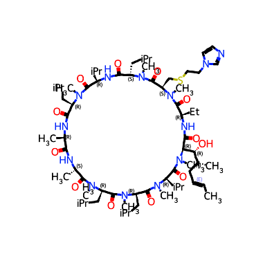 C/C=C/C[C@@H](C)[C@@H](O)[C@@H]1C(=O)N[C@H](CC)C(=O)N(C)[C@H](CSCCn2ccnc2)C(=O)N(C)[C@@H](CC(C)C)C(=O)N[C@H](C(C)C)C(=O)N(C)[C@H](CC(C)C)C(=O)N[C@H](C)C(=O)N[C@@H](C)C(=O)N(C)[C@H](CC(C)C)C(=O)N(C)[C@H](CC(C)C)C(=O)N(C)[C@H](C(C)C)C(=O)N1C